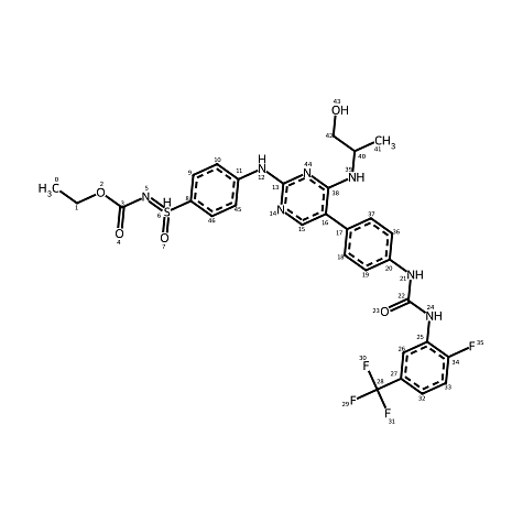 CCOC(=O)N=[SH](=O)c1ccc(Nc2ncc(-c3ccc(NC(=O)Nc4cc(C(F)(F)F)ccc4F)cc3)c(NC(C)CO)n2)cc1